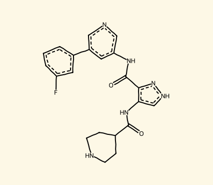 O=C(Nc1cncc(-c2cccc(F)c2)c1)c1n[nH]cc1NC(=O)C1CCNCC1